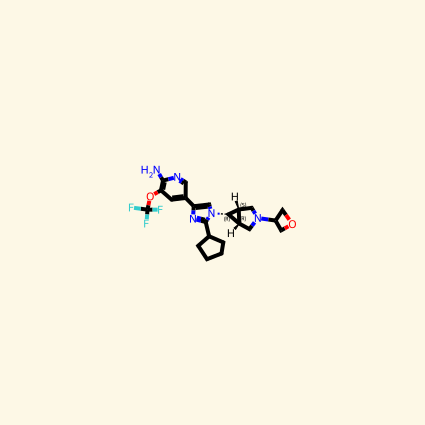 Nc1ncc(-c2cn([C@@H]3[C@@H]4CN(C5COC5)C[C@@H]43)c(C3CCCC3)n2)cc1OC(F)(F)F